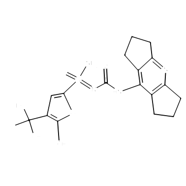 Cc1oc(S(N)(=O)=NC(=O)Nc2c3c(nc4c2CCC4)CCC3)cc1C(C)(C)O